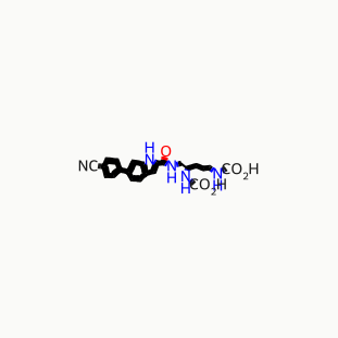 N#Cc1ccc(-c2ccc3cc(C(=O)NC[C@@H](CCCNC(=O)O)NC(=O)O)[nH]c3c2)cc1